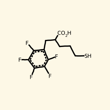 O=C(O)C(CCCS)Cc1c(F)c(F)c(F)c(F)c1F